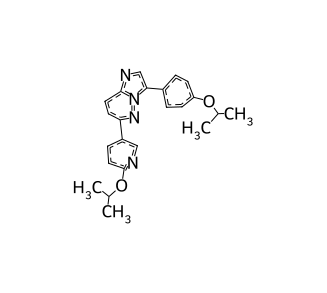 CC(C)Oc1ccc(-c2cnc3ccc(-c4ccc(OC(C)C)nc4)nn23)cc1